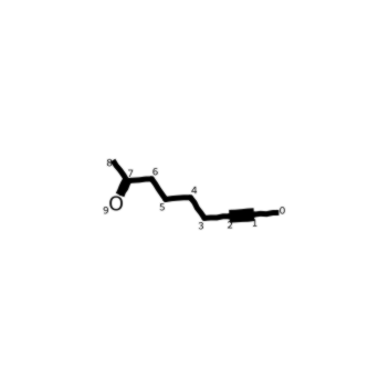 CC#CCCCCC(C)=O